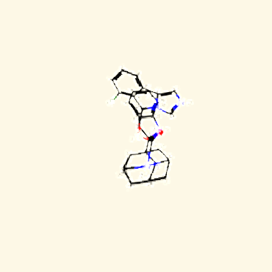 O=C(CC1c2c(F)cccc2-c2cncn21)C12CC3CC(C1)N(c1nc4ccccc4o1)C(C3)C2